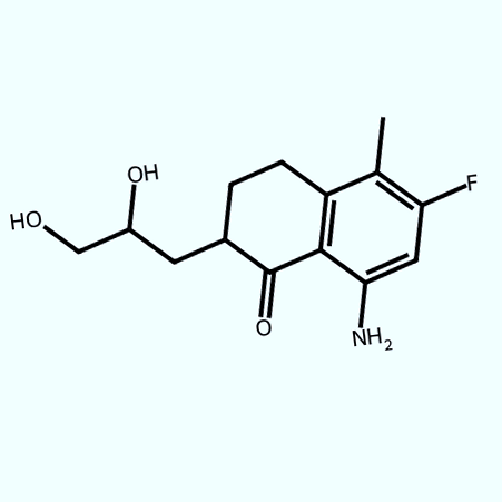 Cc1c(F)cc(N)c2c1CCC(CC(O)CO)C2=O